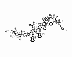 CC(C)C[C@@H](NC(=O)[C@@H](Cc1c[nH]c2ccccc12)NC(=O)[C@@H](CCCNC(=N)N)NC(=O)[C@@H](Cc1c[nH]c2ccccc12)NC(=O)[C@@H](CCC(=O)O)NC(=O)[C@H]1CCCN1C(=O)[C@@H](Cc1ccc(O)cc1)NC(=O)[C@@H](CC(=O)O)NC(=O)[C@@H](CS)NC(=O)[C@@H](C)NC(=O)CNC(=O)[C@H](N)CCCCN)C(=O)N[C@H](CS)C(=O)N[C@H](C)C(=O)N[C@H](C)C(=O)O